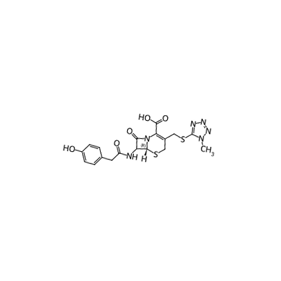 Cn1nnnc1SCC1=C(C(=O)O)N2C(=O)C(NC(=O)Cc3ccc(O)cc3)[C@H]2SC1